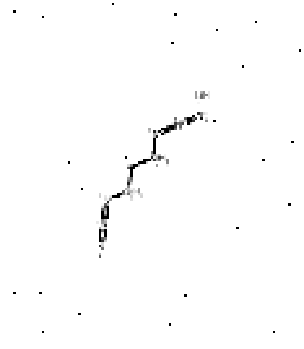 [LiH].[N-]=[N+]=N[SiH2][CH][SiH2]N=[N+]=[N-]